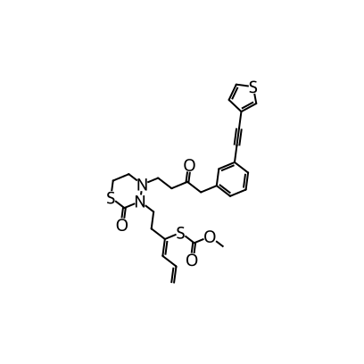 C=C/C=C(/CCN1C(=O)SCCN1CCC(=O)Cc1cccc(C#Cc2ccsc2)c1)SC(=O)OC